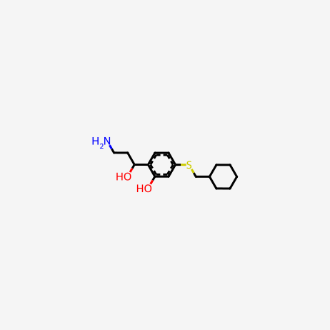 NCCC(O)c1ccc(SCC2CCCCC2)cc1O